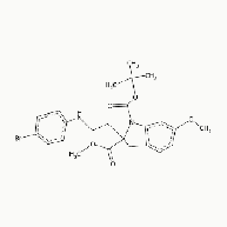 COC(=O)C1(CCNc2ccc(Br)cc2)Cc2ccc(OC)cc2N1C(=O)OC(C)(C)C